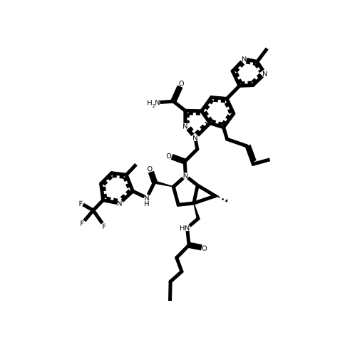 C/C=C/Cc1cc(-c2cnc(C)nc2)cc2c(C(N)=O)nn(CC(=O)N3C4[C@H](C)[C@]4(CNC(=O)CCCC)C[C@H]3C(=O)Nc3nc(C(F)(F)F)ccc3C)c12